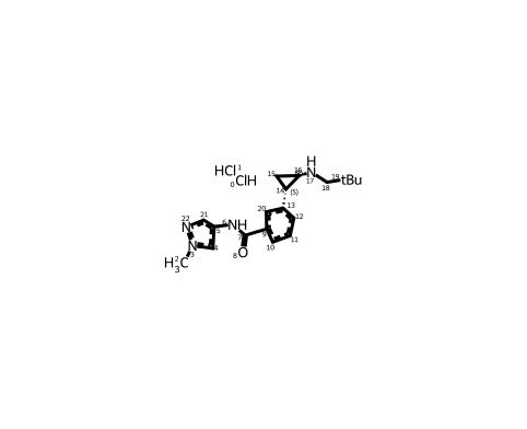 Cl.Cl.Cn1cc(NC(=O)c2cccc([C@@H]3C[C@H]3NCC(C)(C)C)c2)cn1